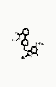 CCCCc1nc2c(C)cc(NC(C)=O)cc2n1Cc1ccc(-c2ccccc2C(=O)OC(C)(C)C)cc1